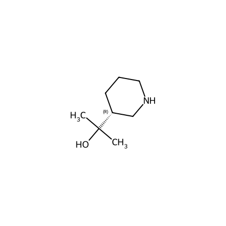 CC(C)(O)[C@@H]1CCCNC1